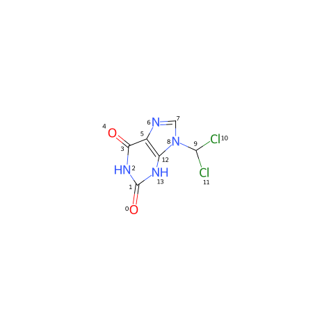 O=c1[nH]c(=O)c2ncn(C(Cl)Cl)c2[nH]1